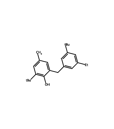 CCc1cc(Cc2cc(C)cc(C(C)(C)C)c2O)[c]c(C(C)(C)C)c1